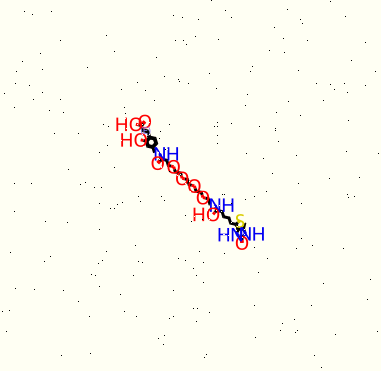 O=C(O)/C=C/c1ccc(CNC(=O)CCOCCOCCOCCOCCNC(O)CCCCC2SCC3NC(=O)NC32)cc1O